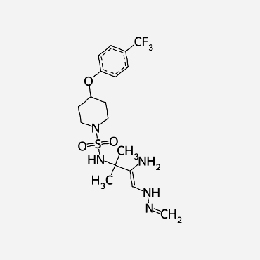 C=NN/C=C(\N)C(C)(C)NS(=O)(=O)N1CCC(Oc2ccc(C(F)(F)F)cc2)CC1